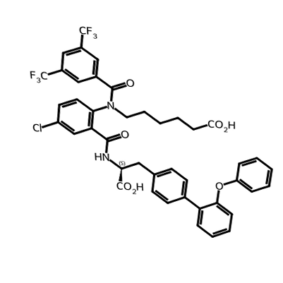 O=C(O)CCCCCN(C(=O)c1cc(C(F)(F)F)cc(C(F)(F)F)c1)c1ccc(Cl)cc1C(=O)N[C@@H](Cc1ccc(-c2ccccc2Oc2ccccc2)cc1)C(=O)O